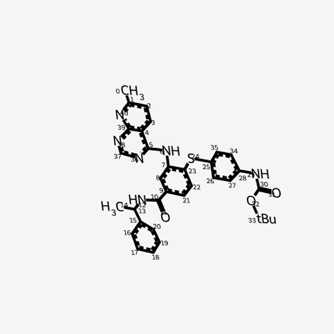 Cc1ccc2c(Nc3cc(C(=O)NC(C)c4ccccc4)ccc3Sc3ccc(NC(=O)OC(C)(C)C)cc3)ncnc2n1